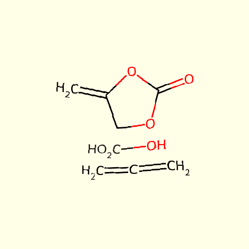 C=C1COC(=O)O1.C=C=C.O=C(O)O